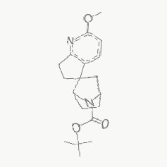 COc1ccc2c(n1)CCC21CC2CCC1N2C(=O)OC(C)(C)C